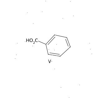 O=C(O)c1ccccc1.[V]